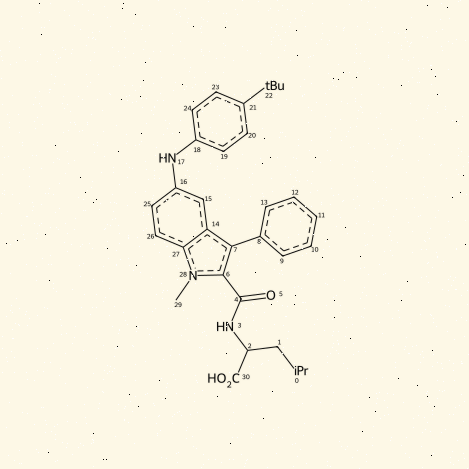 CC(C)CC(NC(=O)c1c(-c2ccccc2)c2cc(Nc3ccc(C(C)(C)C)cc3)ccc2n1C)C(=O)O